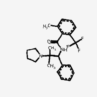 Cc1cccc(C(F)(F)F)c1C(=O)NC(c1ccccc1)C(C)(C)N1CCCC1